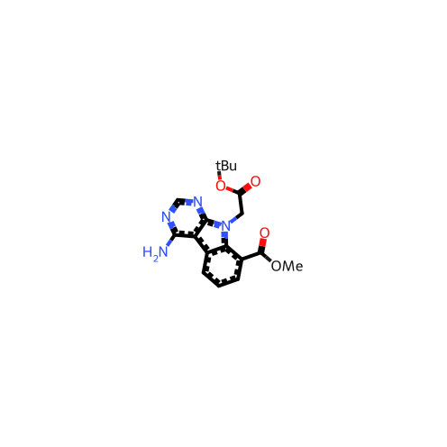 COC(=O)c1cccc2c3c(N)ncnc3n(CC(=O)OC(C)(C)C)c12